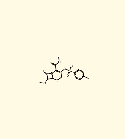 COC(=O)C1=C(OS(=O)(=O)c2ccc(C)cc2)CSC2C(OC)C(=O)N12